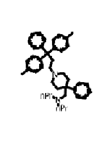 CCCN(CCC)CC1(c2ccccc2)CCN(CCC(c2ccccc2)(c2ccc(C)cc2)c2ccc(C)cc2)CC1